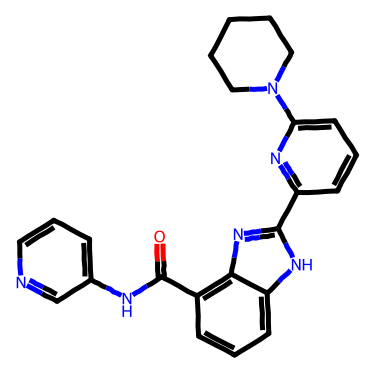 O=C(Nc1cccnc1)c1cccc2[nH]c(-c3cccc(N4CCCCC4)n3)nc12